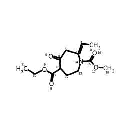 CC=C1CC(=O)C(C(=O)OCC)CCN1C(=O)OC